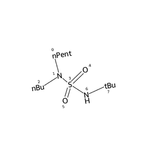 CCCCCN(CCCC)S(=O)(=O)NC(C)(C)C